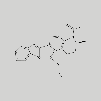 CCCOc1c(-c2cc3ccccc3o2)ccc2c1CC[C@H](C)N2C(C)=O